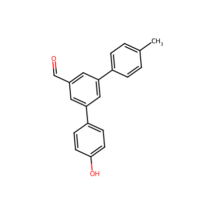 Cc1ccc(-c2cc(C=O)cc(-c3ccc(O)cc3)c2)cc1